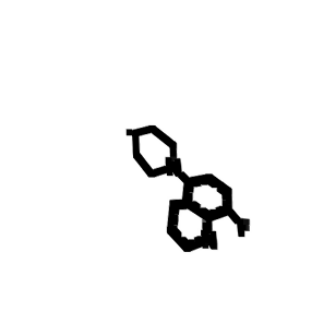 Fc1ccc(N2CC[CH]CC2)c2cccnc12